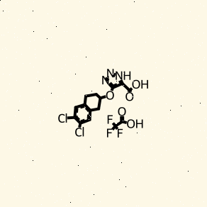 O=C(O)C(F)(F)F.O=C(O)c1[nH]nnc1OC1CCc2cc(Cl)c(Cl)cc2C1